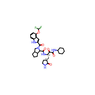 O=C(NC1CCCCC1)C(=O)[C@H](C[C@@H]1CCNC1=O)NC(=O)C1C2CCCC2CN1C(=O)c1cc2c(OC(F)F)cccc2[nH]1